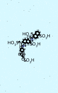 O=S(=O)(O)CNc1ccc2c(O)c(/N=N/c3ccc4c(S(=O)(=O)O)cccc4c3S(=O)(=O)O)c(S(=O)(=O)O)cc2c1/N=N/c1ccc(S(=O)(=O)CCOS(=O)(=O)O)cc1